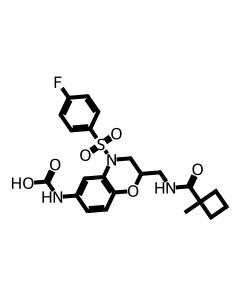 CC1(C(=O)NCC2CN(S(=O)(=O)c3ccc(F)cc3)c3cc(NC(=O)O)ccc3O2)CCC1